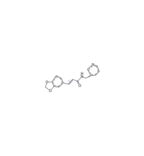 O=C(/C=C/c1ccc2c(c1)OCO2)NCc1cccnc1